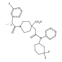 C[C@@H](C(=O)N1CCC(CC(=O)N(c2ccccc2)C2CCCC(F)(F)C2)(C(=O)O)CC1)c1cccc(F)c1